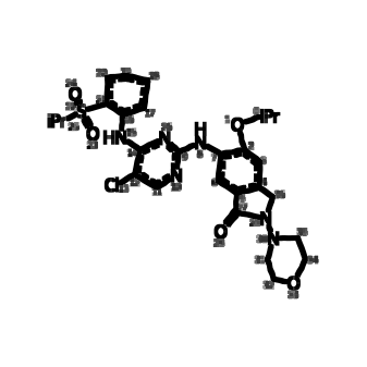 CC(C)Oc1cc2c(cc1Nc1ncc(Cl)c(Nc3ccccc3S(=O)(=O)C(C)C)n1)C(=O)N(N1CCOCC1)C2